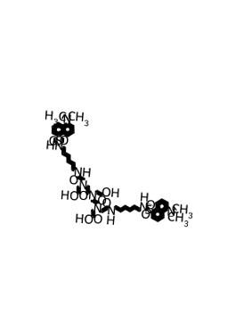 CN(C)c1cccc2c(S(=O)(=O)NCCCCCCNC(=O)CN(CCN(CCN(CC(=O)O)CC(=O)NCCCCCCNS(=O)(=O)c3cccc4c(N(C)C)cccc34)CC(=O)O)CC(=O)O)cccc12